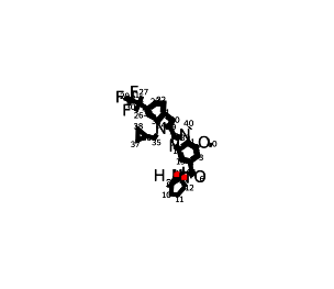 COc1cc(C(=O)N2CC3CCC2[C@@H]3N)cc2nc(-c3cc4ccc(C(C)(C)C(F)(F)F)cc4n3CC3CC3)n(C)c12